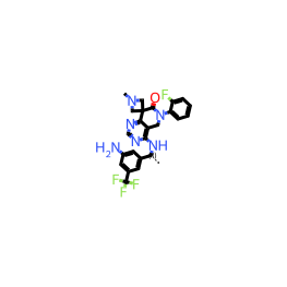 C[C@@H](Nc1ncnc2c1CN(c1ccccc1F)C(=O)C21CN(C)C1)c1cc(N)cc(C(F)(F)F)c1